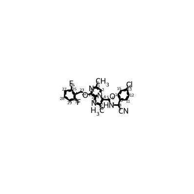 Cc1cn2c(C(=O)NC(C#N)c3ccc(Cl)cc3)c(C)nc2c(OCc2c(F)cccc2F)n1